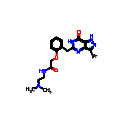 CC(C)c1n[nH]c2c(=O)[nH]c(Cc3ccccc3OCC(=O)NCCN(C)C)nc12